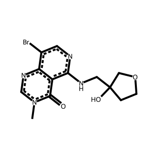 Cn1cnc2c(Br)cnc(NCC3(O)CCOC3)c2c1=O